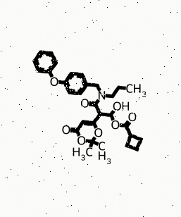 CCCN(Cc1ccc(Oc2ccccc2)cc1)C(=O)C(C1=CC(=O)OC(C)(C)O1)C(O)OC(=O)C1CCC1